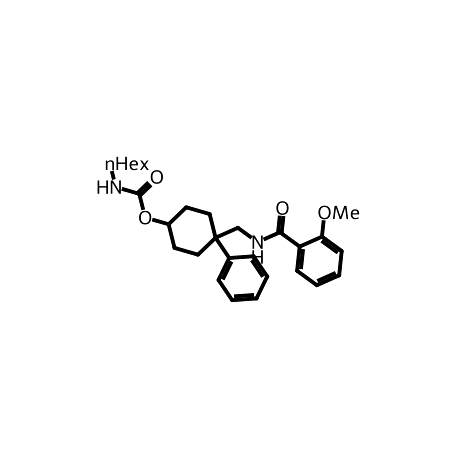 CCCCCCNC(=O)OC1CCC(CNC(=O)c2ccccc2OC)(c2ccccc2)CC1